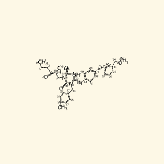 CCCC(=O)[C@@H](C)Cn1c(=O)[nH]/c(=N\c2ccc(Oc3cccc(COC)n3)cc2)n(Cc2ccc(C)cc2)c1=O